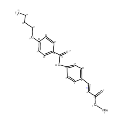 CCCCOC(=O)/C=C/c1ccc(OC(=O)c2ccc(OCCCC(F)(F)F)cc2)cc1